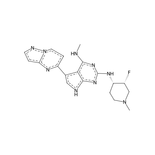 CNc1nc(N[C@H]2CCN(C)C[C@H]2F)nc2[nH]cc(-c3ccn4nccc4n3)c12